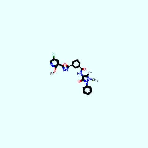 CCc1c(NC(=O)[C@@H]2CCC[C@H](c3nnc(-c4cc(Cl)cnc4OC(C)C)o3)C2)c(=O)n(-c2ccccc2)n1C